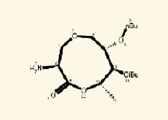 CCCCO[C@H]1COC[C@H](N)C(=O)O[C@@H](C)[C@@H]1OCC(C)C